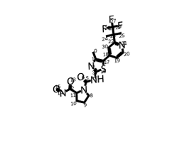 Cc1nc(NC(=O)N2CCCC2C(=O)N=O)sc1-c1ccnc(C(C)(C)C(F)(F)F)c1